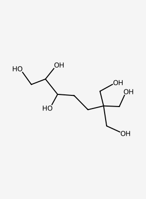 OCC(O)C(O)CCC(CO)(CO)CO